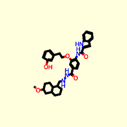 COC1CCC2C(CNNC(=O)c3ccc(NC(=O)c4cc5ccccc5[nH]4)c(OCCc4cccc(O)c4)c3)CCCC2C1